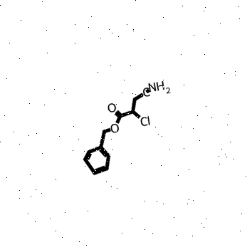 NCCC(Cl)C(=O)OCc1ccccc1